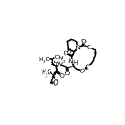 CC(C)CC(NC(=O)[C@@H]1COCCCCCC(=O)N2CCCC[C@H]2C(=O)N1)C(=O)[C@@]1(C)CO1